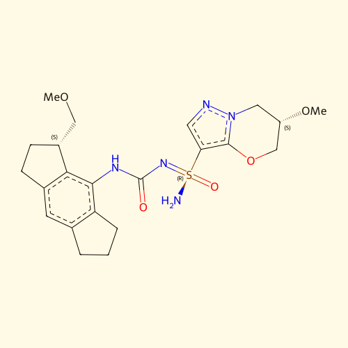 COC[C@H]1CCc2cc3c(c(NC(=O)N=[S@@](N)(=O)c4cnn5c4OC[C@@H](OC)C5)c21)CCC3